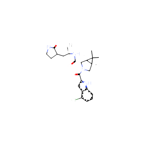 CC1(C)[C@@H]2[C@@H](C(=O)N[C@H](C#N)CC3CCNC3=O)N(C(=O)c3cc4c(Cl)cccc4[nH]3)C[C@@H]21